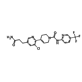 NC(=O)CCc1cnc(C2=CCN(C(=O)Nc3ccc(C(F)(F)F)cn3)CC2)c(Cl)c1